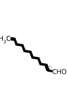 C=CCCCCCCC/C=C/[C]=O